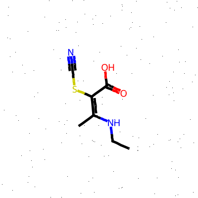 CCN/C(C)=C(/SC#N)C(=O)O